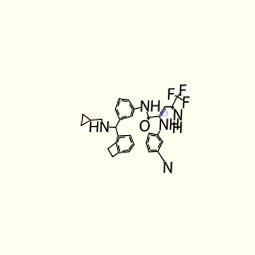 N#Cc1cccc(N/C(=C\C(=N)C(F)(F)F)C(=O)Nc2cccc(C(NCC3CC3)c3cccc4c3CC4)c2)c1